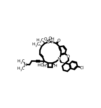 C[C@@H]1[C@@H](C)C/C=C/[C@@](O)(C#CCCN(C)C)[C@@H]2CC[C@H]2CN2C[C@@]3(CCCc4cc(Cl)ccc43)COc3ccc(cc32)C(=O)NS1(=O)=O